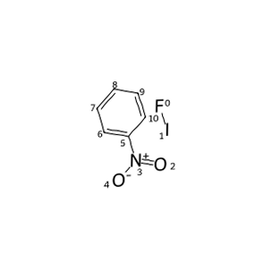 FI.O=[N+]([O-])c1ccccc1